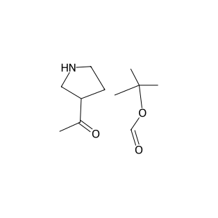 CC(=O)C1CCNC1.CC(C)(C)OC=O